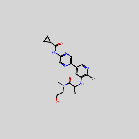 CCC(Nc1cc(-c2cnc(NC(=O)C3CC3)cn2)cnc1C#N)C(=O)N(C)CCO